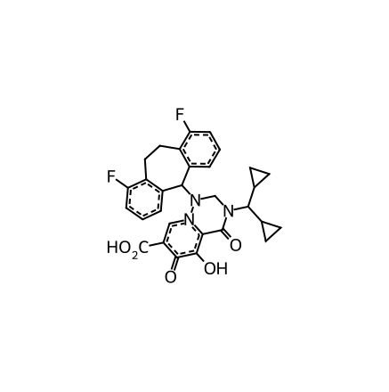 O=C(O)c1cn2c(c(O)c1=O)C(=O)N(C(C1CC1)C1CC1)CN2C1c2cccc(F)c2CCc2c(F)cccc21